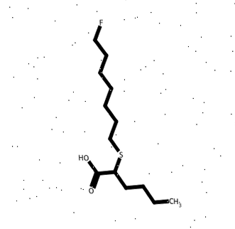 CCCCC(SCCCCCCCF)C(=O)O